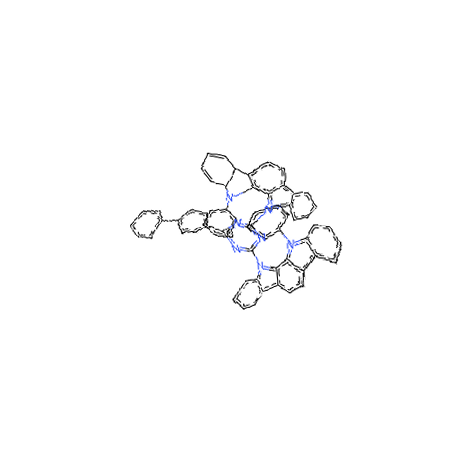 C1=CC2c3ccc4c5ccccc5n(-c5nc(-c6ccc(-c7ccccc7)cc6)nc(-n6c7ccccc7c7ccc8c9ccccc9n(-c9ccccc9)c8c76)n5)c4c3N(c3ccccc3)C2C=C1